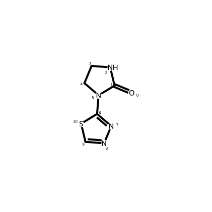 O=C1NCCN1c1nncs1